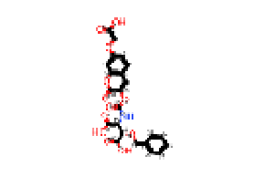 O=C(O)COc1ccc2cc(OC(=O)N[C@H](C(=O)O)[C@H](OCc3ccccc3)C(=O)O)c(=O)oc2c1